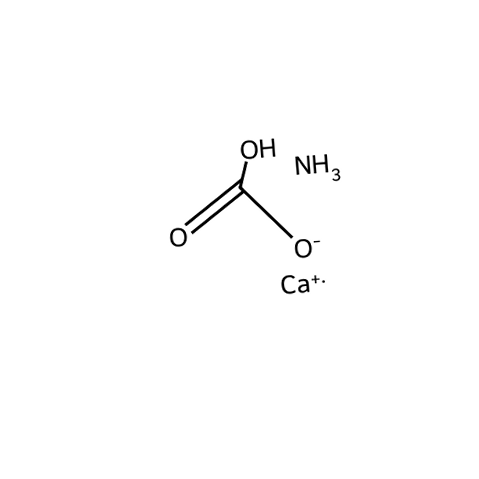 N.O=C([O-])O.[Ca+]